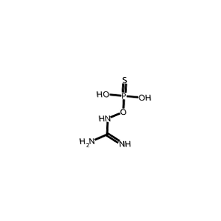 N=C(N)NOP(O)(O)=S